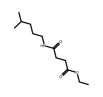 CCOC(=O)CCC(=O)N[CH]CCC(C)C